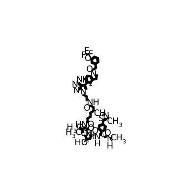 CNC(=O)C[C@H](NC(=O)[C@@H]1C[C@@H](O)CN1C(=O)[C@@H](NC(=O)CCCC(C)CC(=O)NCCCn1cc(-c2ccc3c(c2)CCN3C(=O)Cc2cccc(OC(F)(F)F)c2)c2c(N)ncnc21)C(C)(C)C)c1ccc(-c2scnc2C)cc1